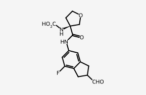 O=CC1Cc2cc(NC(=O)[C@]3(NC(=O)O)CCOC3)cc(F)c2C1